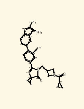 Cc1oc2ccc(-c3ccc(C4=NC5(CC5)C(=O)N4CC4CN(C(=O)C5CC5)C4)cc3F)cc2c1C